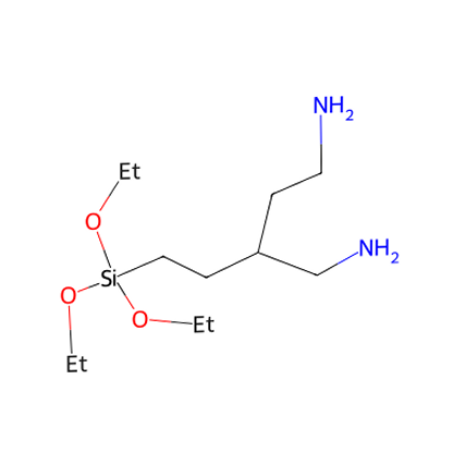 CCO[Si](CCC(CN)CCN)(OCC)OCC